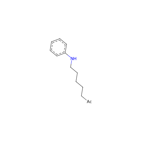 CC(=O)CCCCCNc1ccccc1